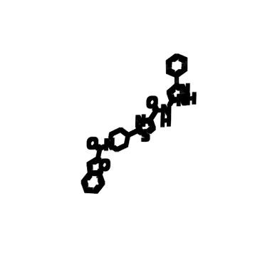 O=C(Nc1cc(-c2ccccc2)n[nH]1)c1csc(C2CCN(C(=O)c3cc4ccccc4o3)CC2)n1